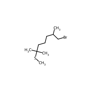 CSC(C)(C)CCCC(C)CBr